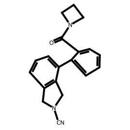 N#CN1Cc2cccc(-c3ccccc3C(=O)N3CCC3)c2C1